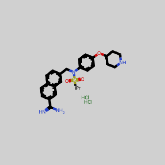 CC(C)S(=O)(=O)N(Cc1ccc2ccc(C(=N)N)cc2c1)c1ccc(OC2CCNCC2)cc1.Cl.Cl